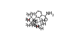 [2H]C([2H])([2H])C([2H])(c1cccc(C(N)=O)c1C([2H])(C([2H])([2H])[2H])C([2H])([2H])[2H])C([2H])([2H])[2H]